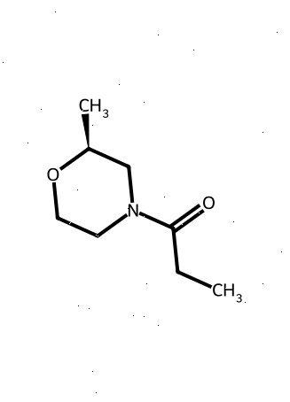 CCC(=O)N1CCO[C@@H](C)C1